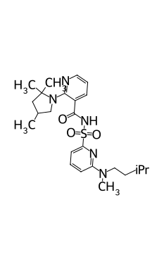 CC(C)CCN(C)c1cccc(S(=O)(=O)NC(=O)c2cccnc2N2CC(C)CC2(C)C)n1